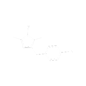 CCc1c(N)c(C)nn1Cc1ccc(C#N)cc1